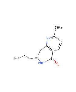 COc1ccc2c(n1)CC(CCC(C)C)NC2=O